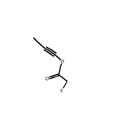 CC#COC(=O)C[S]